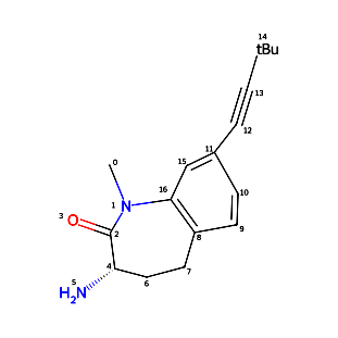 CN1C(=O)[C@@H](N)CCc2ccc(C#CC(C)(C)C)cc21